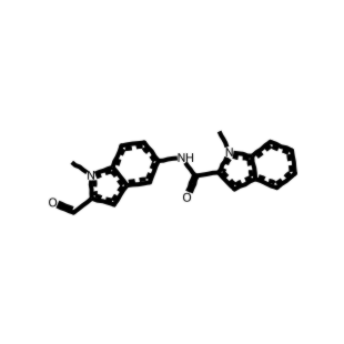 Cn1c(C=O)cc2cc(NC(=O)c3cc4ccccc4n3C)ccc21